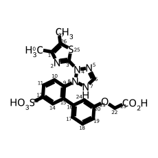 Cc1nc(N2N=CNN2c2ccc(S(=O)(=O)O)cc2-c2cccc(OCC(=O)O)c2)sc1C